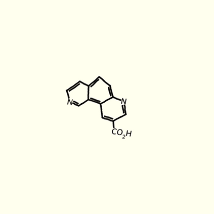 O=C(O)c1cnc2ccc3ccncc3c2c1